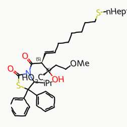 CCCCCCCSCCCCCCC=C[C@H](C(=O)N1C(=O)SC(c2ccccc2)(c2ccccc2)C1C(C)C)[C@@](O)(CCOC)C(=O)O